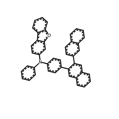 c1ccc(N(c2ccc(-c3cc4ccccc4cc3-c3ccc4ccccc4c3)cc2)c2ccc3c(c2)oc2ccccc23)cc1